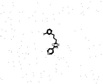 Ic1cccc(CCCc2nnc(-c3ccncc3)o2)c1